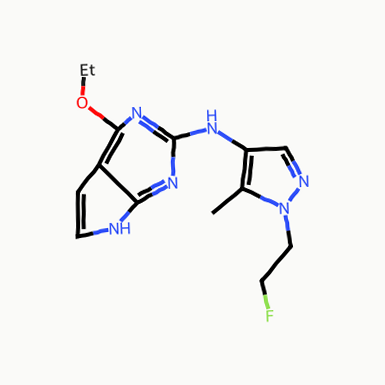 CCOc1nc(Nc2cnn(CCF)c2C)nc2[nH]ccc12